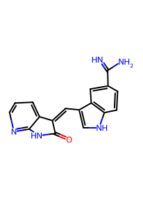 N=C(N)c1ccc2[nH]cc(C=C3C(=O)Nc4ncccc43)c2c1